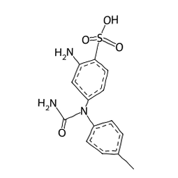 Cc1ccc(N(C(N)=O)c2ccc(S(=O)(=O)O)c(N)c2)cc1